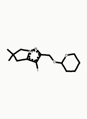 CC1(C)Cc2c(I)c(COC3CCCCO3)nn2C1